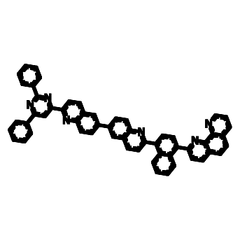 c1ccc(-c2cc(-c3ccc4cc(-c5ccc6nc(-c7ccc(-c8ccc9ccc%10cccnc%10c9n8)c8ccccc78)ccc6c5)ccc4n3)nc(-c3ccccc3)n2)cc1